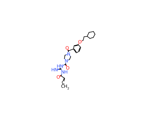 C=C=CC(=O)NC(=N)NC(=O)N1CCN(C(=O)c2cccc(OCCC3CCCCC3)c2)CC1